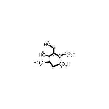 O=C(O)CCC(=O)O.O=C(O)OC(CO)CO